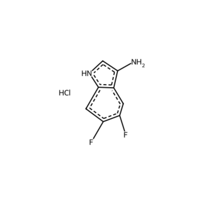 Cl.Nc1c[nH]c2cc(F)c(F)cc12